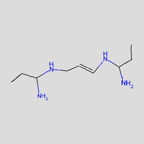 CCC(N)NC=CCNC(N)CC